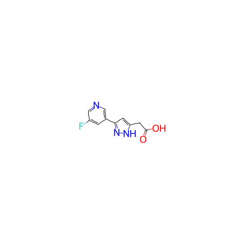 O=C(O)Cc1cc(-c2cncc(F)c2)n[nH]1